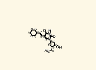 O=c1[nH]c(=O)n(C2C[C@@H](O)[C@@H](CO)O2)cc1/C=C/C1CCCCC1